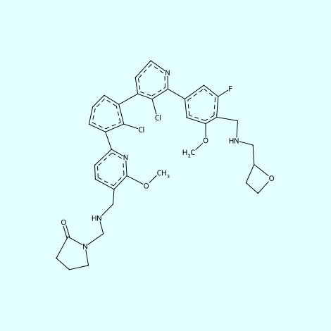 COc1cc(-c2nccc(-c3cccc(-c4ccc(CNCN5CCCC5=O)c(OC)n4)c3Cl)c2Cl)cc(F)c1CNCC1CCO1